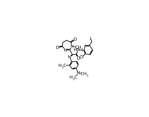 Cc1cc(N(C)C)ccc1/N=C(\C(=O)Nc1cc(CI)ccc1Cl)C1=NC(=O)CCC(=O)N1C